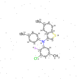 Cc1cc(Cl)c(I)c(N(c2ccc(C(C)(C)C)cc2)c2csc3ccc(C(C)(C)C)cc23)c1